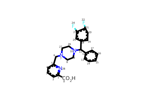 O=C(O)c1cccc(CN2CCN(C(c3ccccc3)c3ccc(F)c(F)c3)CC2)n1